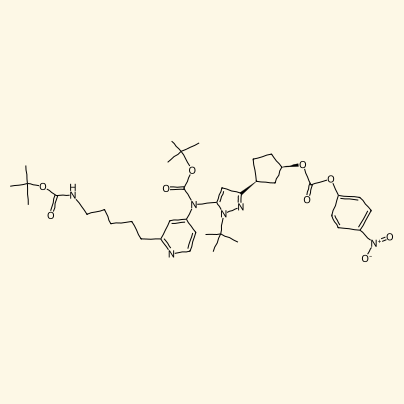 CC(C)(C)OC(=O)NCCCCCc1cc(N(C(=O)OC(C)(C)C)c2cc([C@H]3CC[C@@H](OC(=O)Oc4ccc([N+](=O)[O-])cc4)C3)nn2C(C)(C)C)ccn1